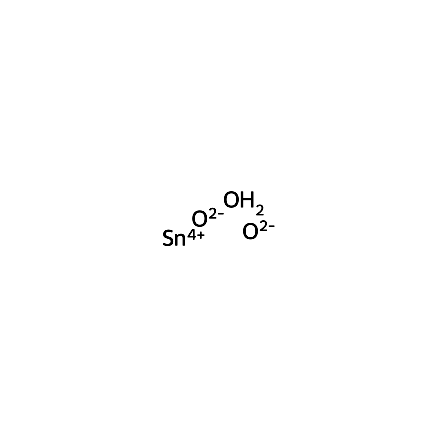 O.[O-2].[O-2].[Sn+4]